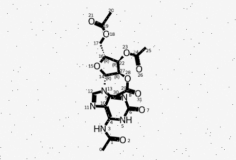 CC(=O)Nc1[nH]c(=O)nc2c1ncn2[C@@H]1O[C@H](COC(C)=O)[C@@H](OC(C)=O)[C@H]1OC(C)=O